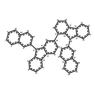 c1ccc2cc(-n3c4ccccc4c4ccc(-c5cccc6c7ccccc7n(-c7ccc8ccccc8c7)c56)cc43)ccc2c1